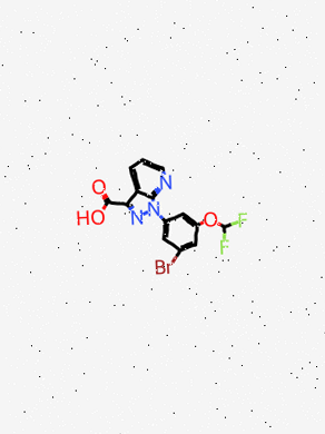 O=C(O)c1nn(-c2cc(Br)cc(OC(F)F)c2)c2ncccc12